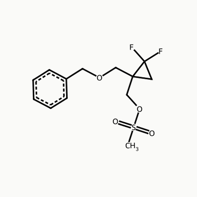 CS(=O)(=O)OCC1(COCc2ccccc2)CC1(F)F